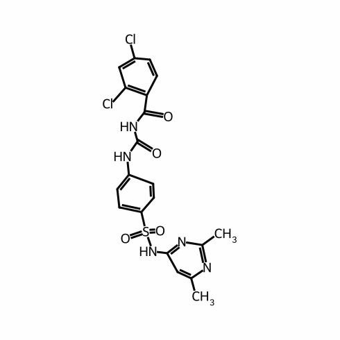 Cc1cc(NS(=O)(=O)c2ccc(NC(=O)NC(=O)c3ccc(Cl)cc3Cl)cc2)nc(C)n1